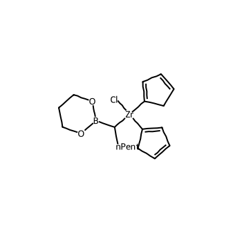 CCCCC[CH](B1OCCCO1)[Zr]([Cl])([C]1=CC=CC1)[C]1=CC=CC1